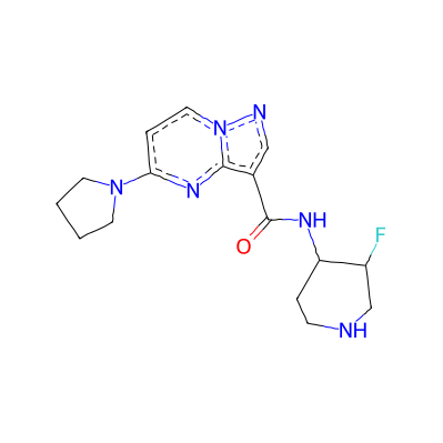 O=C(NC1CCNCC1F)c1cnn2ccc(N3CCCC3)nc12